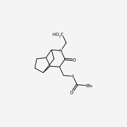 CC(C)(C)C(=O)SCC1C(=O)N(CC(=O)O)C2CC3CCC2C31